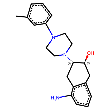 Cc1cccc(N2CCN([C@H]3Cc4c(N)cccc4C[C@@H]3O)CC2)c1